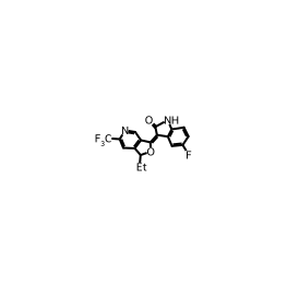 CCC1OC(=C2C(=O)Nc3ccc(F)cc32)c2cnc(C(F)(F)F)cc21